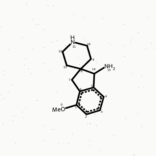 COc1cccc2c1CC1(CCNCC1)C2N